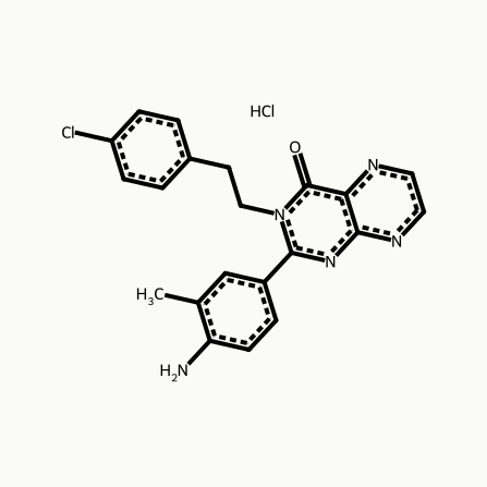 Cc1cc(-c2nc3nccnc3c(=O)n2CCc2ccc(Cl)cc2)ccc1N.Cl